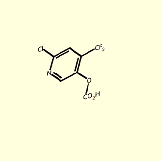 O=C(O)Oc1cnc(Cl)cc1C(F)(F)F